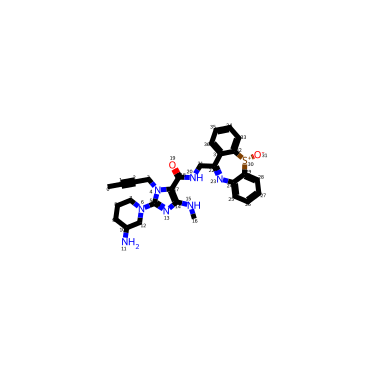 CC#CCn1c(N2CCCC(N)C2)nc(NC)c1C(=O)NCC1=Nc2ccccc2[S+]([O-])c2ccccc21